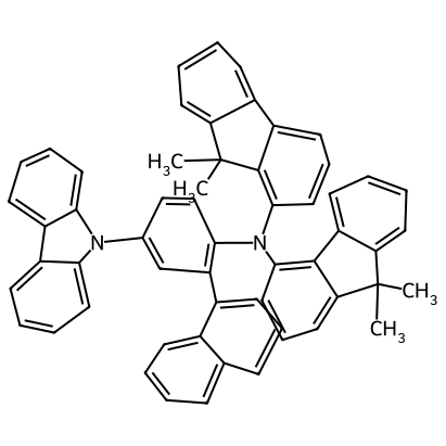 CC1(C)c2ccccc2-c2c(N(c3ccc(-n4c5ccccc5c5ccccc54)cc3-c3cccc4ccccc34)c3cccc4c3C(C)(C)c3ccccc3-4)cccc21